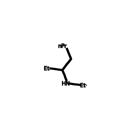 C[CH]NC(CC)CCCC